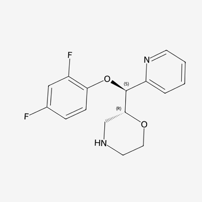 Fc1ccc(O[C@@H](c2ccccn2)[C@H]2CNCCO2)c(F)c1